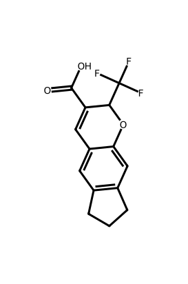 O=C(O)C1=Cc2cc3c(cc2OC1C(F)(F)F)CCC3